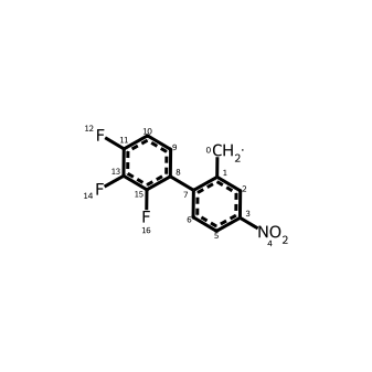 [CH2]c1cc([N+](=O)[O-])ccc1-c1ccc(F)c(F)c1F